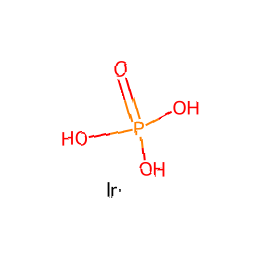 O=P(O)(O)O.[Ir]